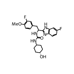 COc1ccc(CC(NC(=O)N[C@H]2CC[C@H](O)CC2)c2nc3ccc(F)cc3[nH]2)cc1F